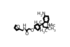 CC(=O)N1c2ccc(N)cc2C(C)(c2ccc(OCC(=O)NCc3ccco3)cc2)CC1(C)C